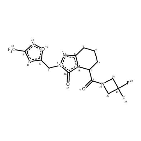 O=C(C1CCCc2nn(Cc3nc(C(F)(F)F)no3)c(=O)n21)N1CC(F)(F)C1